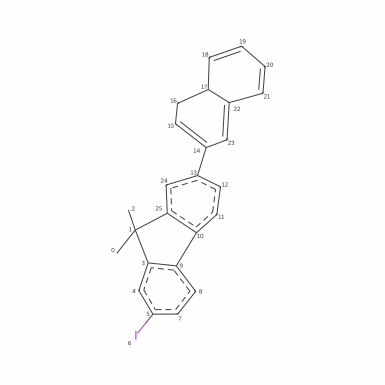 CC1(C)c2cc(I)ccc2-c2ccc(C3=CCC4C=CC=CC4=C3)cc21